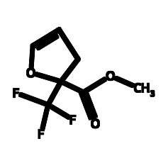 COC(=O)C1(C(F)(F)F)CC=CO1